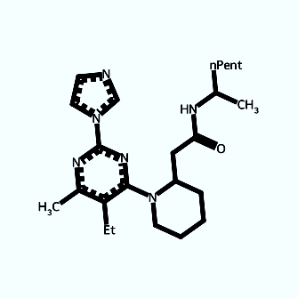 CCCCCC(C)NC(=O)CC1CCCCN1c1nc(-n2ccnc2)nc(C)c1CC